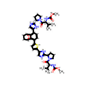 COC(=O)N[C@H](C(=O)N1CCCC1c1ncc(-c2ccc(-c3ccc(-c4cnc([C@@H]5CCCN5C(=O)[C@@H](NC(=O)OC)C(C)C)[nH]4)c4c3C3CCC4O3)s2)[nH]1)C(C)C